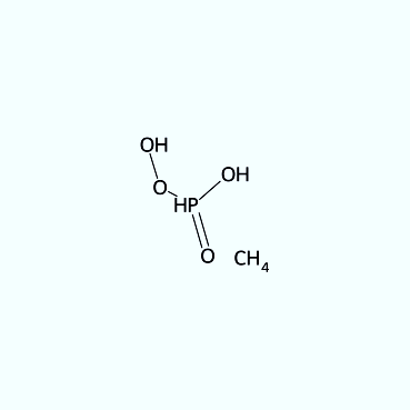 C.O=[PH](O)OO